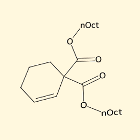 CCCCCCCCOC(=O)C1(C(=O)OCCCCCCCC)C=CCCC1